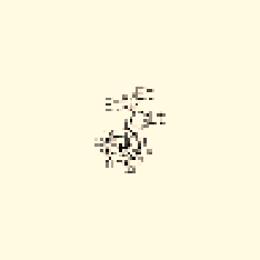 CCC(CC)(CC)[C]12[CH]3[CH]4[CH]5[CH]1[Fe]45321678[CH]2[CH]1[CH]6[CH]7[CH]28